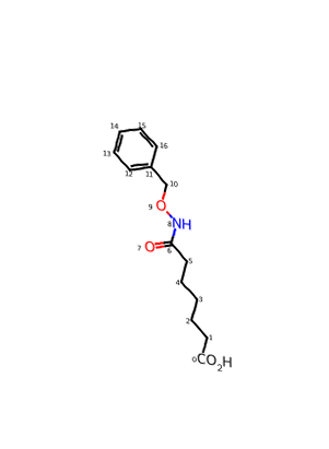 O=C(O)CCCCCC(=O)NOCc1ccccc1